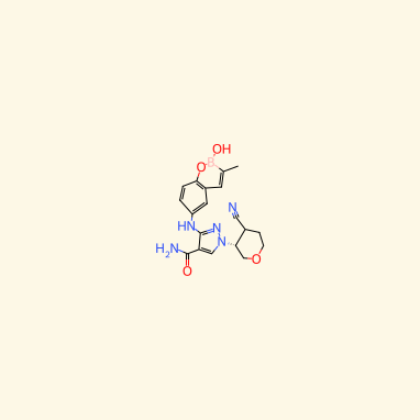 CC1=Cc2cc(Nc3nn([C@H]4COCCC4C#N)cc3C(N)=O)ccc2OB1O